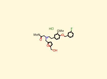 CNC(=O)CN(CCc1ccc(OCc2cccc(F)c2)c(OC)c1)Cc1ccc(CO)o1.Cl